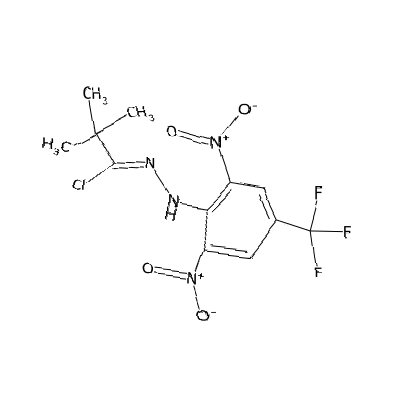 CC(C)(C)C(Cl)=NNc1c([N+](=O)[O-])cc(C(F)(F)F)cc1[N+](=O)[O-]